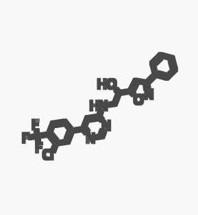 OC(CNc1cc(-c2ccc(C(F)(F)F)c(Cl)c2)ncn1)c1cc(-c2ccccc2)no1